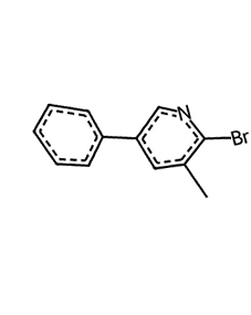 Cc1cc(-c2ccccc2)cnc1Br